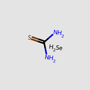 NC(N)=S.[SeH2]